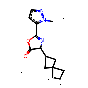 Cn1nccc1C1=NC(C2CC3(CCC3)C2)C(=O)O1